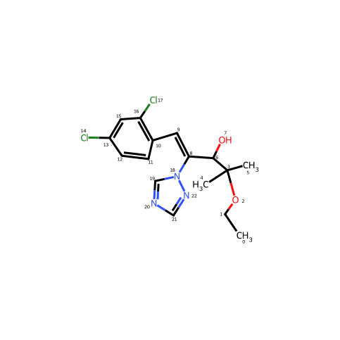 CCOC(C)(C)C(O)C(=Cc1ccc(Cl)cc1Cl)n1cncn1